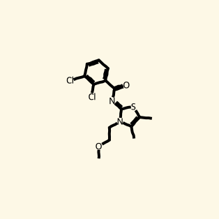 COCCn1c(C)c(C)sc1=NC(=O)c1cccc(Cl)c1Cl